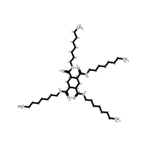 CCCCCCCCOC(=O)C1CC(C(=O)OCCCCCCCC)C(C(=O)OCCCCCCCC)CC1C(=O)OCCCCCCCC